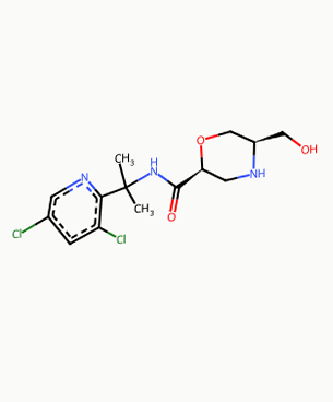 CC(C)(NC(=O)[C@@H]1CN[C@H](CO)CO1)c1ncc(Cl)cc1Cl